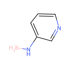 BNc1cccnc1